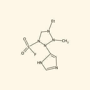 CCN1CN(S(=O)(=O)F)N(c2cnc[nH]2)N1C